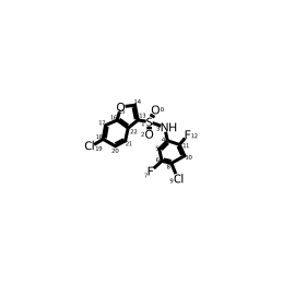 O=S(=O)(Nc1cc(F)c(Cl)cc1F)c1coc2cc(Cl)ccc12